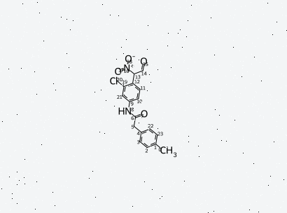 Cc1ccc(CC(=O)Nc2ccc(C(C=O)[N+](=O)[O-])c(Cl)c2)cc1